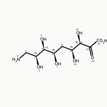 NC[C@H](O)[C@@H](O)[C@H](O)C[C@H](O)[C@@H](O)C(=O)C(=O)O